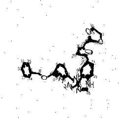 NC1(Nc2ccc(OCc3ccccc3)cc2)N=CNc2ccc(-c3ccc(C4OCCO4)o3)cc21